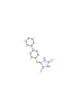 O=C1NC(=O)/C(=C/c2ccc(-c3ccccc3)cc2)N1